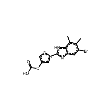 Cc1c(Br)cc2nc(-n3cc(OC(=O)O)cn3)[nH]c2c1C